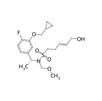 COCN([C@H](C)c1ccc(F)c(OCC2CC2)c1)S(=O)(=O)CCC=CCO